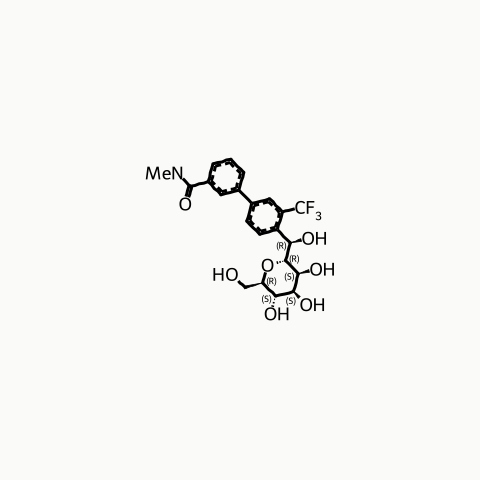 CNC(=O)c1cccc(-c2ccc([C@@H](O)[C@H]3O[C@H](CO)[C@@H](O)[C@H](O)[C@@H]3O)c(C(F)(F)F)c2)c1